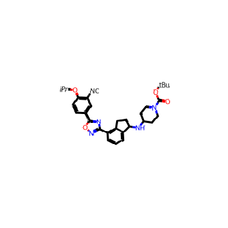 [C-]#[N+]c1cc(-c2nc(-c3cccc4c3CCC4NC3CCN(C(=O)OC(C)(C)C)CC3)no2)ccc1OC(C)C